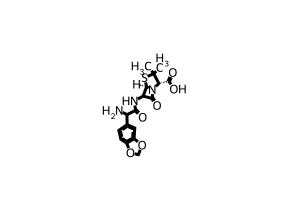 CC1(C)S[C@@H]2C(NC(=O)C(N)c3ccc4c(c3)OCO4)C(=O)N2[C@H]1C(=O)O